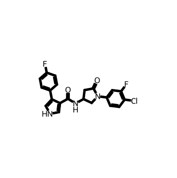 O=C(NC1CC(=O)N(c2ccc(Cl)c(F)c2)C1)c1c[nH]cc1-c1ccc(F)cc1